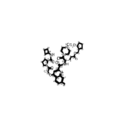 CCOC(=O)N1CCN(C(=O)[C@H](CCC(=O)OCC2CCCC2)NC(=O)c2cc(O[C@H](C)C(=O)N3CCC[C@H]3C(=O)NC3CCC3)c3ccc(C)cc3n2)CC1